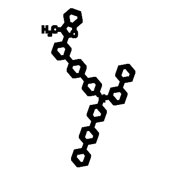 Cc1c(-c2cccc(-c3ccc(-c4ccc(N(c5ccc(-c6ccc(-c7ccccc7)cc6)cc5)c5cccc(-c6ccccc6)c5)cc4)cc3)c2)oc2ccccc12